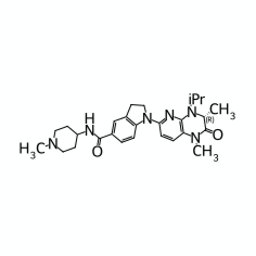 CC(C)N1c2nc(N3CCc4cc(C(=O)NC5CCN(C)CC5)ccc43)ccc2N(C)C(=O)[C@H]1C